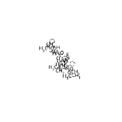 CN(C)C(=O)[C@@H](NC(=O)CNC(=O)C(=O)C(CC(F)(F)F)NC(=O)[C@@H]1[C@@H]2[C@H](CN1C(=O)[C@@H](NC(=O)OC(C)(C)C)C1CCCCC1)C2(C)C)c1ccccc1